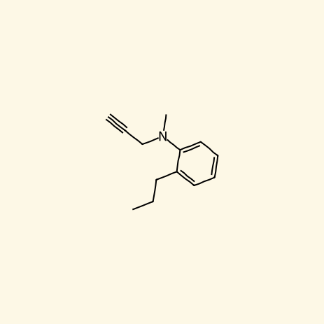 C#CCN(C)c1ccccc1CCC